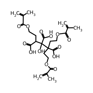 C=C(C)C(=O)OCCC(C(=O)O)C(O)(C(=O)O)C(CCOC(=O)C(=C)C)(CCOC(=O)C(=C)C)C(=O)O